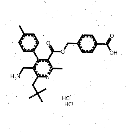 Cc1ccc(-c2c(CN)c(CC(C)(C)C)nc(C)c2C(=O)OCc2ccc(C(=O)O)cc2)cc1.Cl.Cl